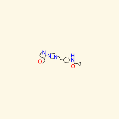 O=C(NC1CCC(CCN2CCN(c3nccc4c3CCO4)CC2)CC1)C1CC1